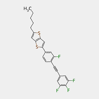 CCCCCc1cc2sc(-c3ccc(C#Cc4cc(F)c(F)c(F)c4)c(F)c3)cc2s1